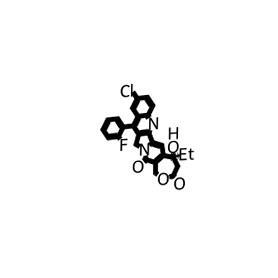 CC[C@@]1(O)CC(=O)OCc2c1cc1n(c2=O)Cc2c-1nc1ccc(Cl)cc1c2-c1ccccc1F